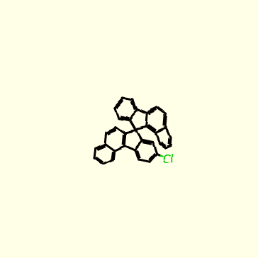 Clc1ccc2c(c1)C1(c3ccccc3-c3ccc4ccccc4c31)c1ccc3ccccc3c1-2